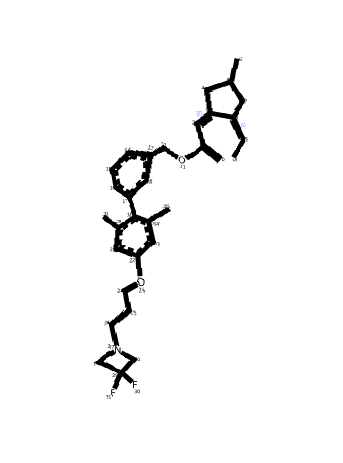 C=C(/C=C1/CC(C)C/C1=C/C)OCc1cccc(-c2c(C)cc(OCCCN3CC(F)(F)C3)cc2C)c1